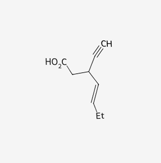 C#CC(C=CCC)CC(=O)O